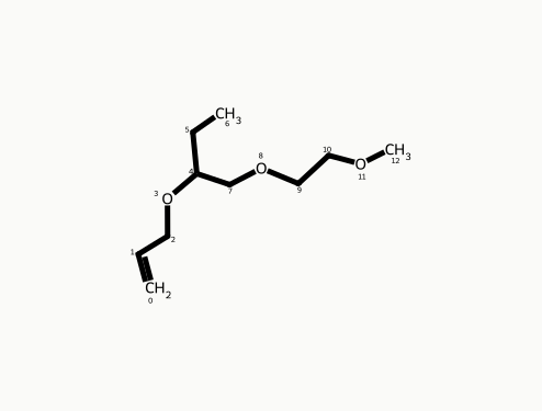 C=CCOC(CC)COCCOC